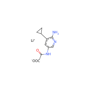 Nc1ncc(NC(=O)C(=O)[O-])cc1C1CC1.[Li+]